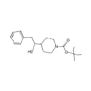 CC(C)(C)OC(=O)N1CCC(C(O)Cc2ccccc2)CC1